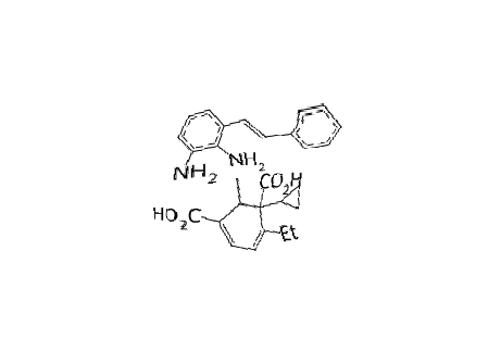 CCC1=CC=C(C(=O)O)C(C)C1(C(=O)O)C1CC1.Nc1cccc(C=Cc2ccccc2)c1N